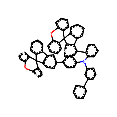 c1ccc(-c2cccc(N(c3ccc(-c4ccc5c(c4)-c4ccccc4C54c5ccccc5Oc5ccccc54)cc3)c3ccccc3-c3cccc4c3-c3ccccc3C43c4ccccc4Oc4ccccc43)c2)cc1